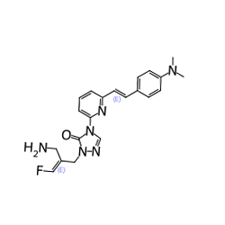 CN(C)c1ccc(/C=C/c2cccc(-n3cnn(C/C(=C/F)CN)c3=O)n2)cc1